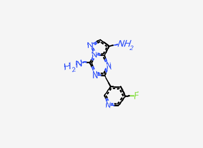 Nc1cnn2c(N)nc(-c3cncc(F)c3)nc12